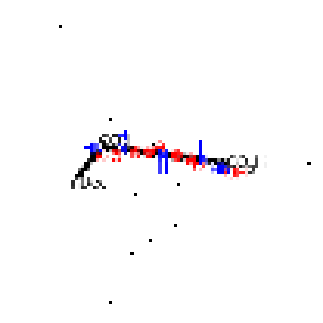 CCCCCCCCCCCCCCCCCC(=O)NC(CCC(=O)NCCOCCOCC(=O)NCCOCCOCC(=O)NCCCC[C@H](NO)C(=O)O)C(=O)O